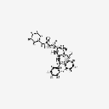 C[C@H](NC(=O)CC1CCCCC1)C(=O)N[C@H]1N=C(c2ccccc2)c2ccccc2N(C)C1=O